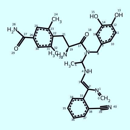 C=N/C(=C\NC(C)N(Cc1ccc(O)c(O)c1)C(=O)[C@@H](N)Cc1c(C)cc(C(N)=O)cc1C)c1ccccc1C#N